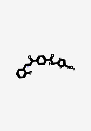 O=C(/C=C/c1ccccc1F)c1ccc(C(=O)Nc2ncc([N+](=O)[O-])s2)cc1